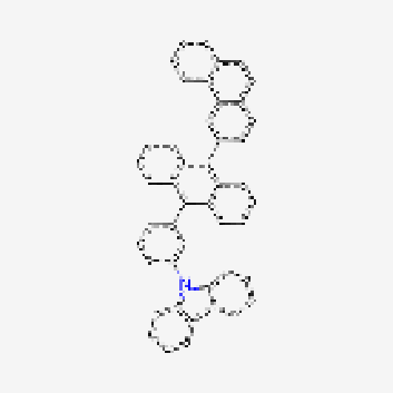 c1cc(-c2c3ccccc3c(-c3ccc4ccc5ccccc5c4c3)c3ccccc23)cc(-n2c3ccccc3c3ccccc32)c1